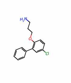 NCCCOc1ccc(Cl)cc1-c1ccccc1